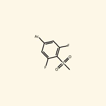 CC(=O)c1cc(F)c(S(C)(=O)=O)c(F)c1